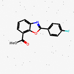 COC(=O)c1cccc2nc(-c3ccc(F)cc3)oc12